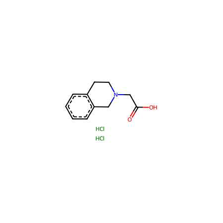 Cl.Cl.O=C(O)CN1CCc2ccccc2C1